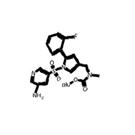 CN(Cc1cc(-c2ccccc2F)n(S(=O)(=O)c2cncc(N)c2)c1)C(=O)OC(C)(C)C